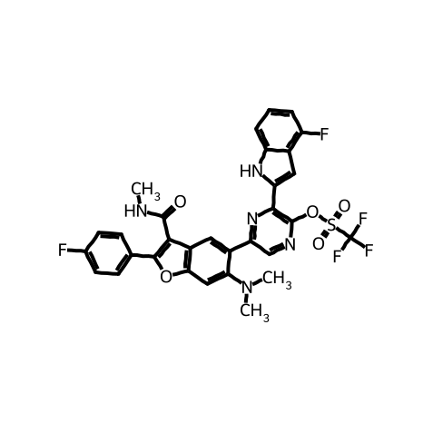 CNC(=O)c1c(-c2ccc(F)cc2)oc2cc(N(C)C)c(-c3cnc(OS(=O)(=O)C(F)(F)F)c(-c4cc5c(F)cccc5[nH]4)n3)cc12